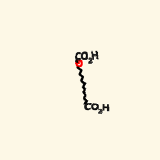 O=C(O)CCCCCCCCCCCCCOCC(=O)O